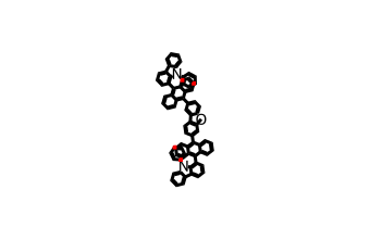 c1ccc(-n2c3ccccc3c3cccc(-c4c5ccccc5c(-c5ccc6c(c5)oc5ccc(-c7c8ccccc8c(-c8cccc9c%10ccccc%10n(-c%10ccccc%10)c89)c8ccccc78)cc56)c5ccccc45)c32)cc1